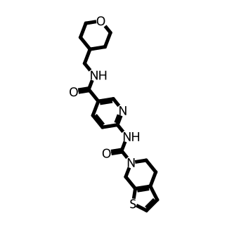 O=C(NCC1CCOCC1)c1ccc(NC(=O)N2CCc3ccsc3C2)nc1